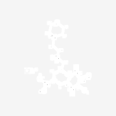 Br.O=c1[nH]c2cc([N+](=O)[O-])cc(CNCCN3CCOCC3)c2[nH]c1=O